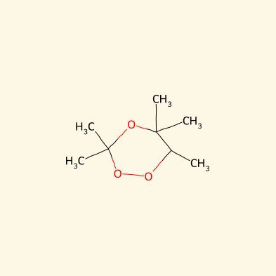 CC1OOC(C)(C)OC1(C)C